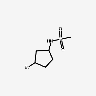 CCC1CCC(NS(C)(=O)=O)C1